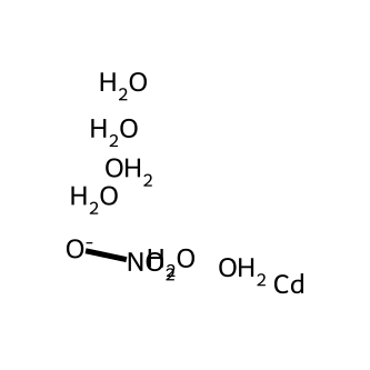 O.O.O.O.O.O.O=[N+]([O-])[O-].[Cd]